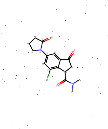 CN(C)C(=O)C1CC(=O)c2cc(N3CCCC3=O)cc(F)c21